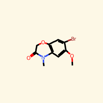 COc1cc2c(cc1Br)OCC(=O)N2C